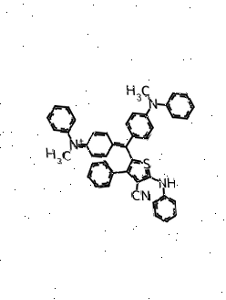 CN(c1ccccc1)c1ccc(C(=C2C=CC(=[N+](C)c3ccccc3)C=C2)c2sc(Nc3ccccc3)c(C#N)c2-c2ccccc2)cc1